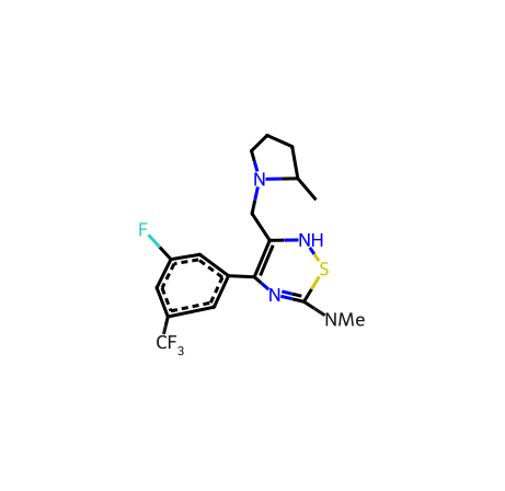 CNC1=NC(c2cc(F)cc(C(F)(F)F)c2)=C(CN2CCCC2C)NS1